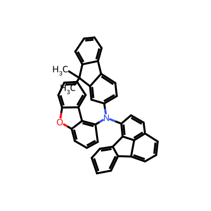 CC1(C)c2ccccc2-c2ccc(N(c3ccc4cccc5c4c3-c3ccccc3-5)c3cccc4oc5ccccc5c34)cc21